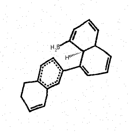 BC1=CC=CC2C=CC=C(c3ccc4c(c3)C=CCC4)[C@@H]12